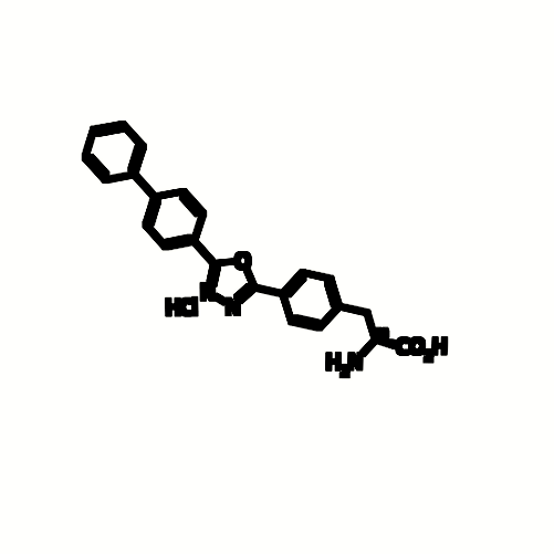 Cl.N[C@@H](Cc1ccc(-c2nnc(-c3ccc(-c4ccccc4)cc3)o2)cc1)C(=O)O